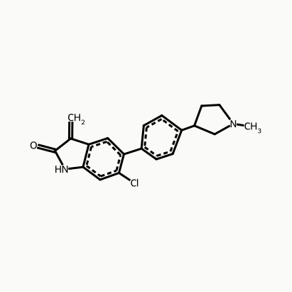 C=C1C(=O)Nc2cc(Cl)c(-c3ccc(C4CCN(C)C4)cc3)cc21